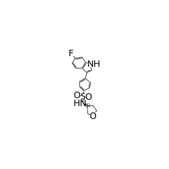 O=S(=O)(N[C@H]1CCOC1)c1ccc(-c2c[nH]c3cc(F)ccc23)cc1